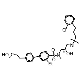 CCc1cc(-c2ccc(CCC(=O)O)cc2)ccc1S(=O)(=O)N(C)C[C@H](O)CNC(C)(C)CCCc1ccccc1Cl